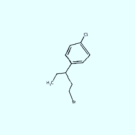 CCC(CCBr)c1ccc(Cl)cc1